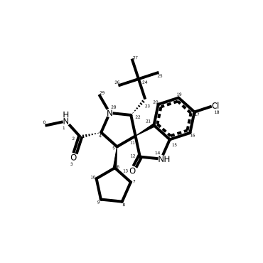 CNC(=O)[C@H]1[C@H](C2CCCC2)[C@@]2(C(=O)Nc3cc(Cl)ccc32)[C@@H](CC(C)(C)C)N1C